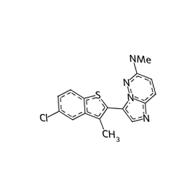 CNc1ccc2ncc(-c3sc4ccc(Cl)cc4c3C)n2n1